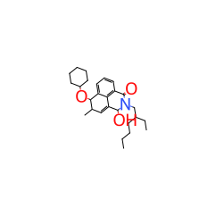 CCCCC(CC)CN1C(=O)c2cccc3c2C(=CC(C)C3OC2CCCCC2)C1O